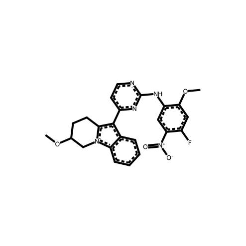 COc1cc(F)c([N+](=O)[O-])cc1Nc1nccc(-c2c3n(c4ccccc24)CC(OC)CC3)n1